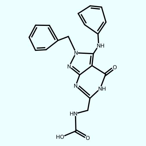 O=C(O)NCc1nc2nn(Cc3ccccc3)c(Nc3ccccc3)c2c(=O)[nH]1